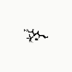 CC=C[C@@H](O)C(C)C(O[Si](C)(C)C(C)(C)C)C(C)CO